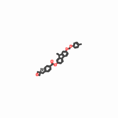 CCC1(Cc2ccc(C(=O)Oc3ccc4c(c3)C(C)c3cc(OCOc5ccc(C)cc5)ccc3-4)cc2)COC1